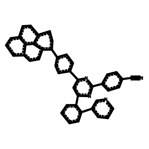 N#Cc1ccc(-c2nc(-c3ccc(-c4ccc5ccc6cccc7ccc4c5c67)cc3)cc(-c3ccccc3-c3cccnc3)n2)cc1